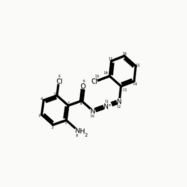 Nc1cccc(Cl)c1C(=O)N=[N+]=Nc1ccccc1Cl